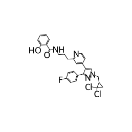 O=C(NCCCc1cc(-c2cn(CC3CC3(Cl)Cl)nc2-c2ccc(F)cc2)ccn1)c1ccccc1O